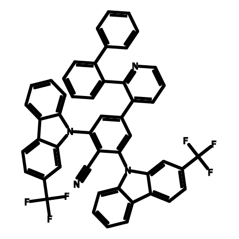 N#Cc1c(-n2c3ccccc3c3ccc(C(F)(F)F)cc32)cc(-c2cccnc2-c2ccccc2-c2ccccc2)cc1-n1c2ccccc2c2ccc(C(F)(F)F)cc21